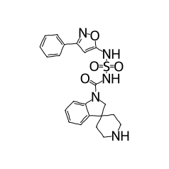 O=C(NS(=O)(=O)Nc1cc(-c2ccccc2)no1)N1CC2(CCNCC2)c2ccccc21